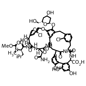 COC(=O)N(C)[C@H](CC(C)C)C(=O)N[C@H]1C(=O)N[C@@H](CC(N)=O)C(=O)N[C@H]2C(=O)C[C@H]3C(=O)N[C@@H](Cc4ccc(c(Cl)c4)Cc4cc2cc(c4O[C@H]2C[C@@H](O)C[C@@H](CO)O2)Oc2ccc(cc2Cl)[C@H]1O)C(=O)N[C@@H](C(=O)O)c1cc(O)cc(O)c1-c1cc3ccc1O